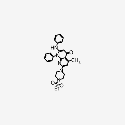 CCS(=O)(=O)N1CCN(c2cc(C)c3c(=O)cc(Nc4ccccc4)n(-c4ccccc4)c3n2)CC1